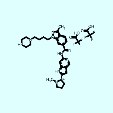 Cc1nn(CCCCN2CCNCC2)c2cc(C(=O)Nc3cc4[nH]c([C@H]5CCCN5C)cc4cn3)ccc12.O=C(O)C(F)(F)F.O=C(O)C(F)(F)F